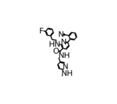 CNc1ccc(CNC(=O)c2ccc(-c3ccccc3C#N)nc2NCCc2cccc(F)c2)cn1